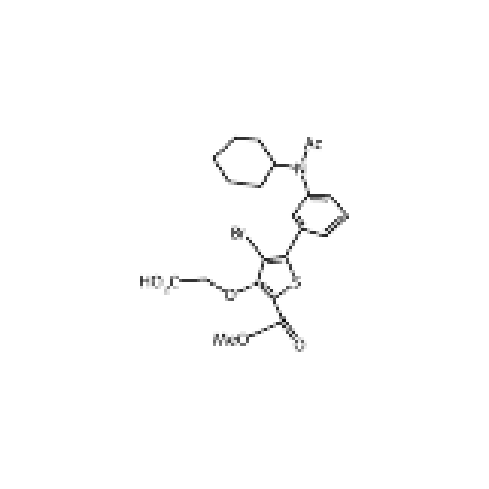 COC(=O)c1sc(-c2cccc(N(C(C)=O)C3CCCCC3)c2)c(Br)c1OCC(=O)O